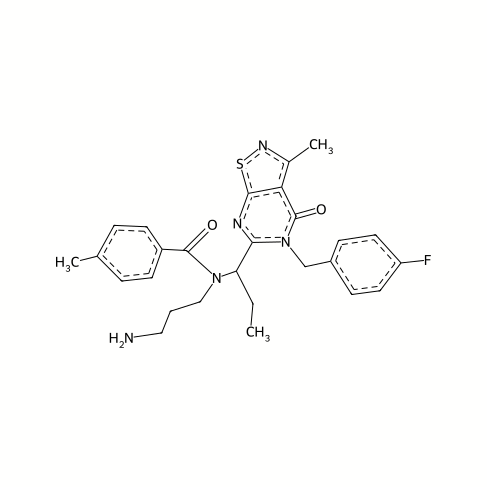 CCC(c1nc2snc(C)c2c(=O)n1Cc1ccc(F)cc1)N(CCCN)C(=O)c1ccc(C)cc1